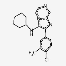 FC(F)(F)c1cc(-c2nc3cnccn3c2NC2CCCCC2)ccc1Cl